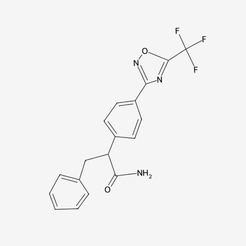 NC(=O)C(Cc1ccccc1)c1ccc(-c2noc(C(F)(F)F)n2)cc1